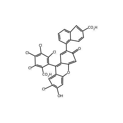 O=C(O)c1ccc2c(-c3cc4c(-c5c(Cl)c(Cl)c(Cl)c(Cl)c5C(=O)O)c5cc(Cl)c(O)cc5oc-4cc3=O)cccc2c1